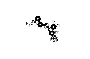 COC(=O)c1ccccc1-c1cccc(-c2cnc(N(Cc3ccc(CP(=O)(OF)OF)c(Br)c3)c3ccc(Cl)c(Cl)c3)o2)c1